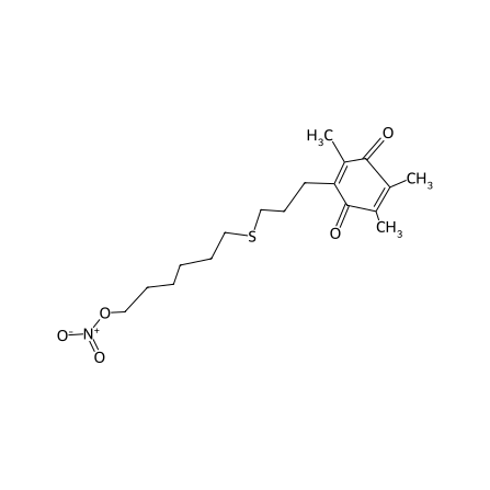 CC1=C(C)C(=O)C(CCCSCCCCCCO[N+](=O)[O-])=C(C)C1=O